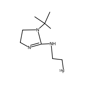 CC(C)(C)N1CCN=C1NCC[18F]